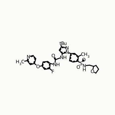 Cc1cc(Oc2ccc(NC(=O)Nc3cc(C(C)(C)C)nn3-c3ccc(S(=O)(=O)NCC4CCCO4)c(C)c3)c(F)c2)ccn1